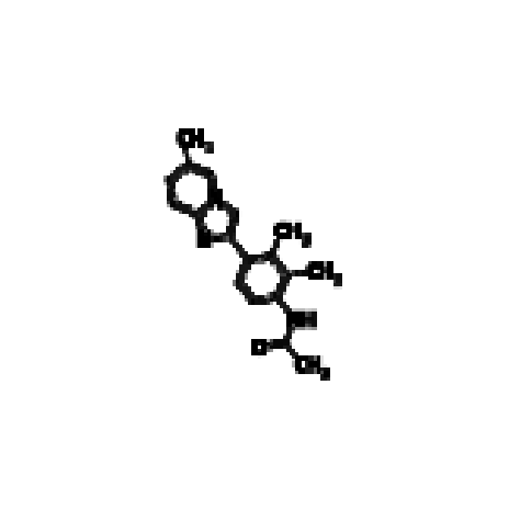 CC(=O)Nc1ccc(-c2cn3cc(C)ccc3n2)c(C)c1C